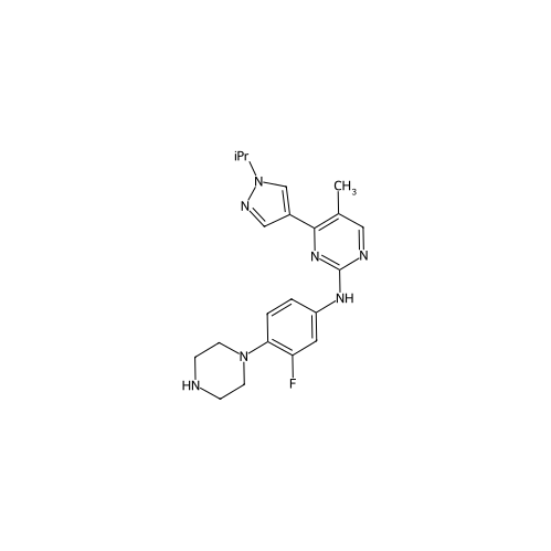 Cc1cnc(Nc2ccc(N3CCNCC3)c(F)c2)nc1-c1cnn(C(C)C)c1